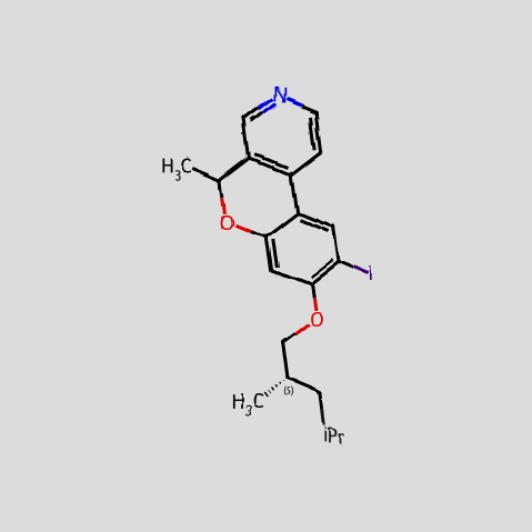 CC(C)C[C@H](C)COc1cc2c(cc1I)-c1ccncc1C(C)O2